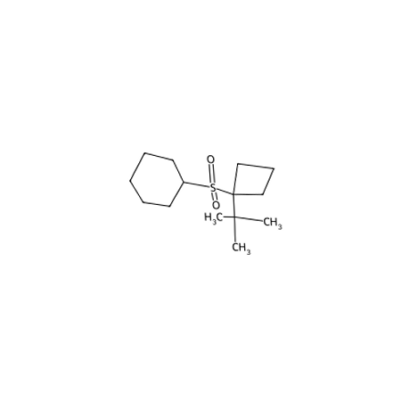 CC(C)(C)C1(S(=O)(=O)C2CCCCC2)CCC1